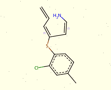 C=C/C=C(\C=C/N)Sc1ccc(C)cc1Cl